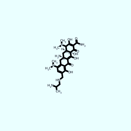 CC(N)CNCc1cc(N(C)C)c2c(c1O)C(=O)C1=C(O)[C@]3(O)C(=O)C(C(N)=O)=C(O)C(N(C)C)[C@@H]3C[C@]1(N)C2